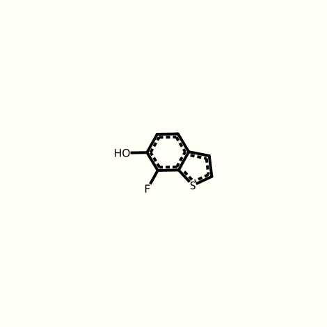 Oc1ccc2ccsc2c1F